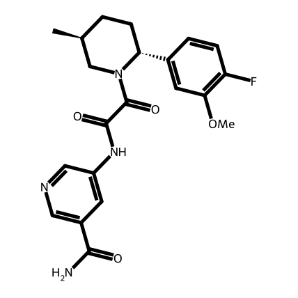 COc1cc([C@H]2CC[C@H](C)CN2C(=O)C(=O)Nc2cncc(C(N)=O)c2)ccc1F